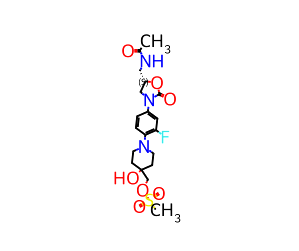 CC(=O)NC[C@H]1CN(c2ccc(N3CCC(O)(COS(C)(=O)=O)CC3)c(F)c2)C(=O)O1